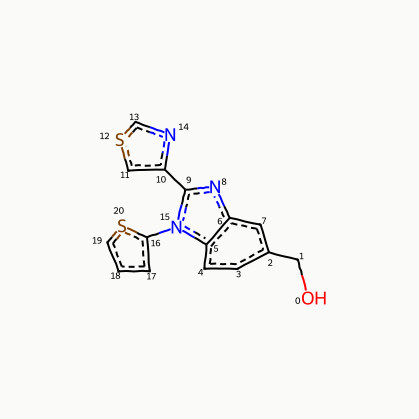 OCc1ccc2c(c1)nc(-c1cscn1)n2-c1cccs1